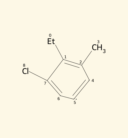 CCc1c(C)c[c]cc1Cl